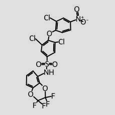 O=[N+]([O-])c1ccc(Oc2c(Cl)cc(S(=O)(=O)Nc3cccc4c3OC(F)(F)C(F)(F)O4)cc2Cl)c(Cl)c1